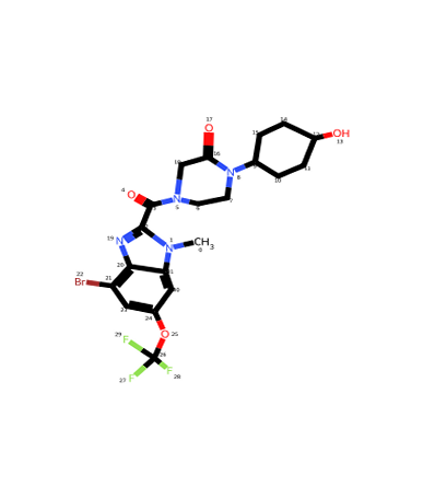 Cn1c(C(=O)N2CCN(C3CCC(O)CC3)C(=O)C2)nc2c(Br)cc(OC(F)(F)F)cc21